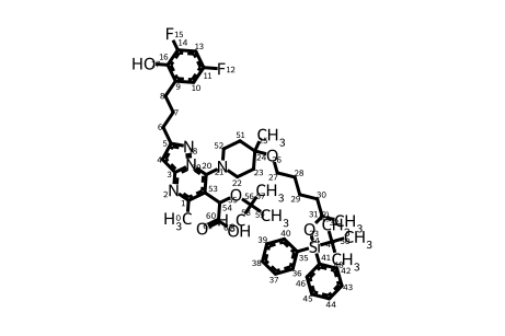 Cc1nc2cc(CCCc3cc(F)cc(F)c3O)nn2c(N2CCC(C)(OCCCC[C@@H](C)O[Si](c3ccccc3)(c3ccccc3)C(C)(C)C)CC2)c1C(OC(C)(C)C)C(=O)O